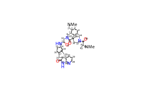 CNCc1ccccc1CN(CC(=O)Nc1ccc2c(c1)C[C@@]1(C2)C(=O)Nc2ncccc21)C(=O)C1(C)CCN(C(=O)C(C)NC)CC1